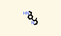 Cc1cccnc1-c1ccc2[nH]ccc2c1